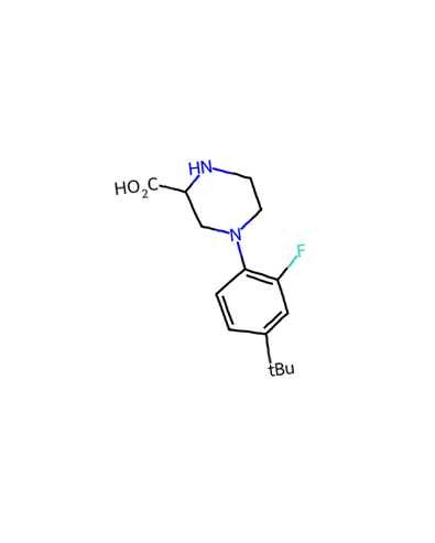 CC(C)(C)c1ccc(N2CCNC(C(=O)O)C2)c(F)c1